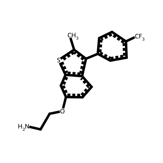 Cc1sc2cc(OCCN)ccc2c1-c1ccc(C(F)(F)F)cc1